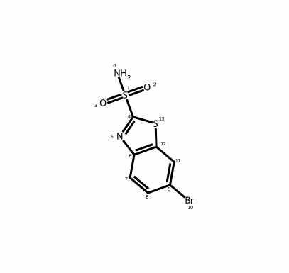 NS(=O)(=O)c1nc2ccc(Br)cc2s1